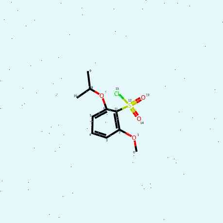 COc1cccc(OC(C)C)c1S(=O)(=O)Cl